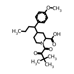 CCCC(c1ccc(OC)cc1)C1CCN(C(=O)C(=O)C(C)(C)C)C(C(=O)O)C1